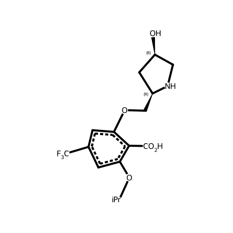 CC(C)Oc1cc(C(F)(F)F)cc(OC[C@H]2C[C@@H](O)CN2)c1C(=O)O